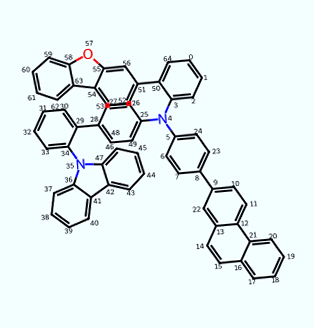 c1ccc(N(c2ccc(-c3ccc4c(ccc5ccccc54)c3)cc2)c2ccc(-c3ccccc3-n3c4ccccc4c4ccccc43)cc2)c(-c2ccc3c(c2)oc2ccccc23)c1